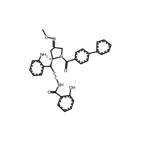 CO/N=C1\C[C@H](C(CCNC(=O)c2ccccc2O)c2ccccc2N)N(C(=O)c2ccc(-c3ccccc3)cc2)C1